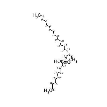 CCCCCCCCCCCCCCCC[C@H](CC)NC(=O)C(O)CCCCCCCCCC